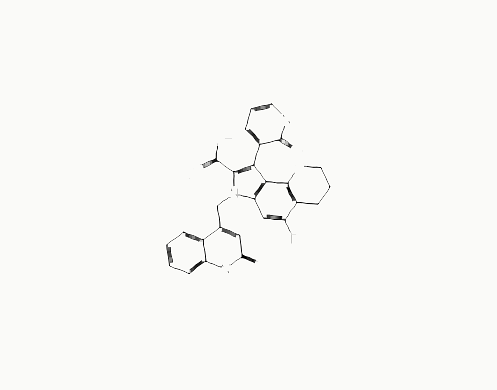 C=C(O)c1c(-c2ccc[nH]c2=O)c2c3c(c(F)cc2n1Cc1cc(=O)[nH]c2ccccc12)CCCO3